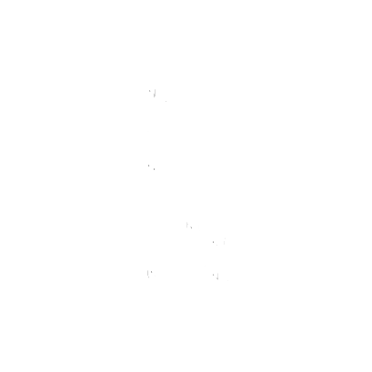 N=C(N)C1CNCCC1NC1CCN(CCCN)CC1